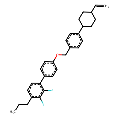 C=CC1CCC(c2ccc(COc3ccc(-c4ccc(CCC)c(F)c4F)cc3)cc2)CC1